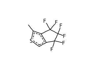 Cc1scc2c1C(F)(F)C(F)(F)C2(F)F